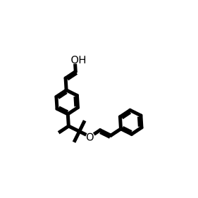 CC(c1ccc(C=CO)cc1)C(C)(C)OC=Cc1ccccc1